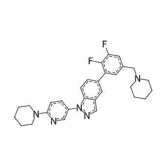 Fc1cc(CN2CCCCC2)cc(-c2ccc3c(cnn3-c3ccc(N4CCCCC4)nc3)c2)c1F